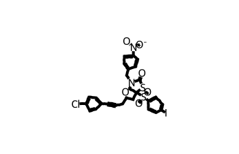 O=C1SC(CCCC#Cc2ccc(Cl)cc2)(S(=O)(=O)c2ccc(I)cc2)C(=O)N1Cc1ccc([N+](=O)[O-])cc1